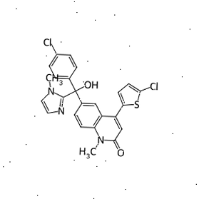 Cn1ccnc1C(O)(c1ccc(Cl)cc1)c1ccc2c(c1)c(-c1ccc(Cl)s1)cc(=O)n2C